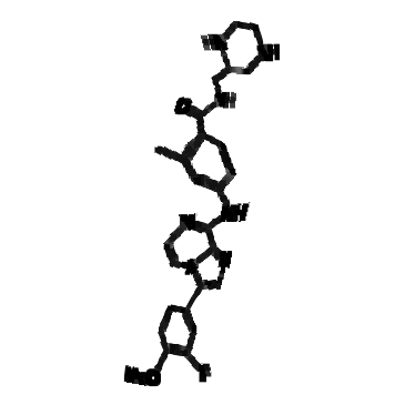 COc1ccc(-c2cnc3c(Nc4ccc(C(=O)NCC5CNCCN5)c(C)c4)nccn23)cc1F